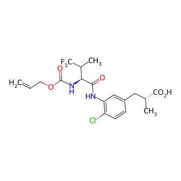 C=CCOC(=O)N[C@H](C(=O)Nc1cc(C[C@@H](C)C(=O)O)ccc1Cl)C(C)C(F)(F)F